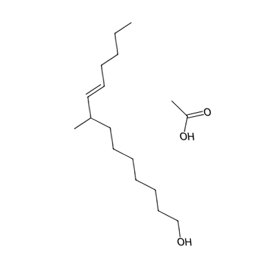 CC(=O)O.CCCC/C=C/C(C)CCCCCCCO